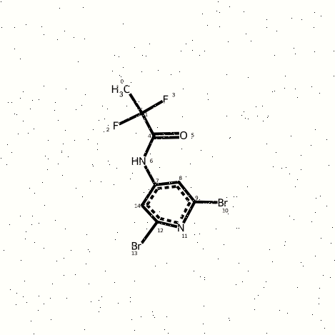 CC(F)(F)C(=O)Nc1cc(Br)nc(Br)c1